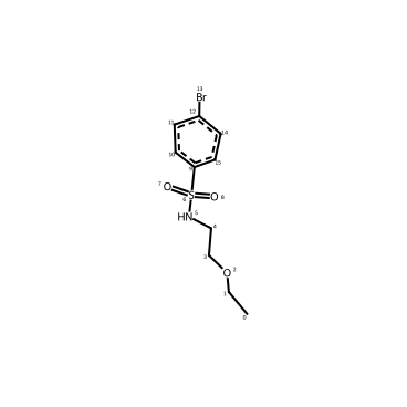 CCOCCNS(=O)(=O)c1ccc(Br)cc1